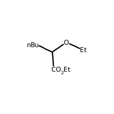 CCCCC(OCC)C(=O)OCC